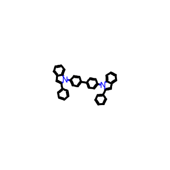 c1ccc(-c2cc3ccccc3n2-c2ccc(-c3ccc(-n4c(-c5ccccc5)cc5ccccc54)cc3)cc2)cc1